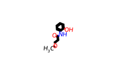 COCCC(=O)Nc1ccccc1O